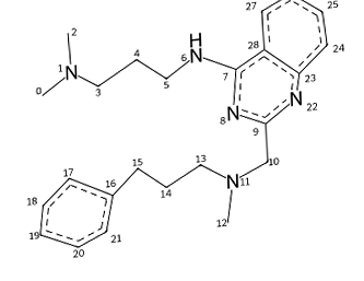 CN(C)CCCNc1nc(CN(C)CCCc2ccccc2)nc2ccccc12